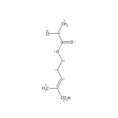 C/C(=C\CCOC(=O)C(C)Cl)C(=O)O